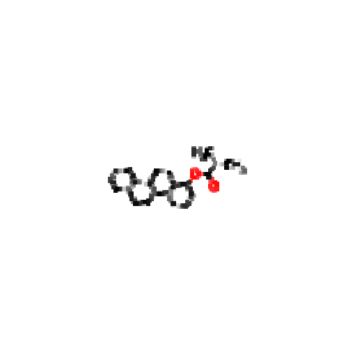 CC(C)C(=O)Oc1cccc2c1ccc1c3ccccc3ccc21